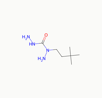 CC(C)(C)CCN(N)C(=O)NN